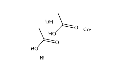 CC(=O)O.CC(=O)O.[Co].[LiH].[Ni]